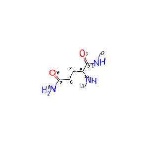 CNC(=O)C(CCC(N)=O)NC